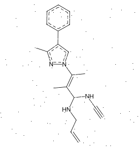 C#CNC(NCC=C)/C(C)=C(\C)n1cc(-c2ccccc2)c(C)n1